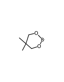 CC1(C)CO[B]OC1